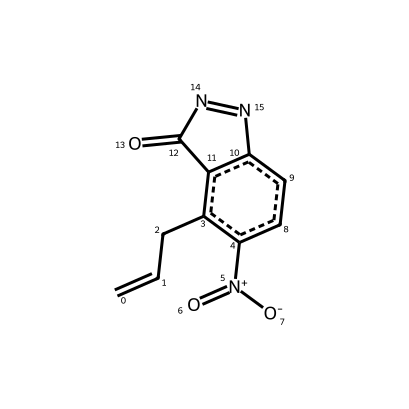 C=CCc1c([N+](=O)[O-])ccc2c1C(=O)N=N2